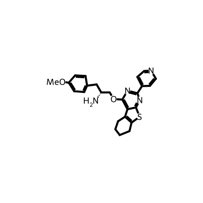 COc1ccc(C[C@@H](N)COc2nc(-c3ccncc3)nc3sc4c(c23)CCCC4)cc1